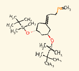 C=PCC=C1C[C@@H](O[Si](C)(C)C(C)(C)C)C[C@H](O[Si](C)(C)C(C)(C)C)C1